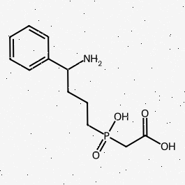 NC(CCCP(=O)(O)CC(=O)O)c1ccccc1